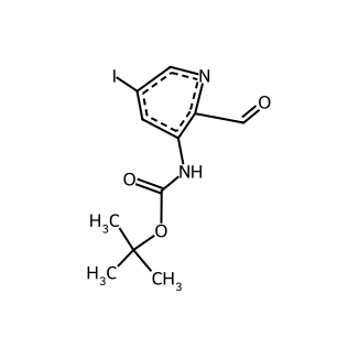 CC(C)(C)OC(=O)Nc1cc(I)cnc1C=O